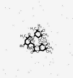 CCC(C)C(CC(C)(C)C(=O)OC1CC(C)(C)N(Cl)C(C)(C)C1)C(C)C(C)CC(C)(C)C(=O)OC1CC(C)(C)N(Cl)C(C)(C)C1